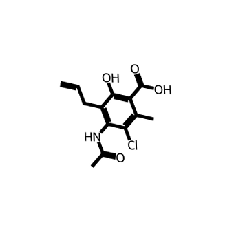 C=CCc1c(O)c(C(=O)O)c(C)c(Cl)c1NC(C)=O